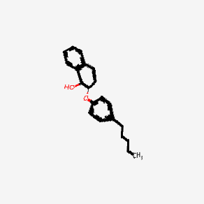 CCCCCc1ccc(O[C@H]2C=Cc3ccccc3[C@@H]2O)cc1